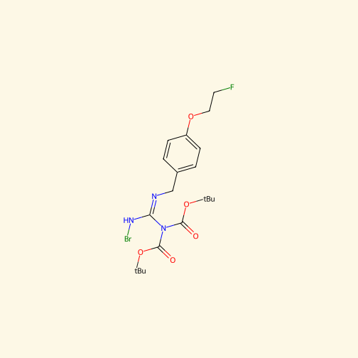 CC(C)(C)OC(=O)N(C(=O)OC(C)(C)C)C(=NCc1ccc(OCCF)cc1)NBr